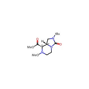 COC(=O)[C@H]1[C@@H]2CN(C(C)(C)C)C(=O)N2CCN1OC